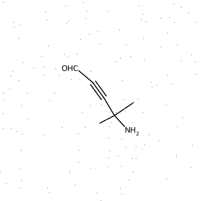 CC(C)(N)C#CC=O